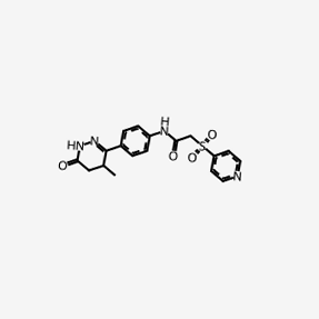 CC1CC(=O)NN=C1c1ccc(NC(=O)CS(=O)(=O)c2ccncc2)cc1